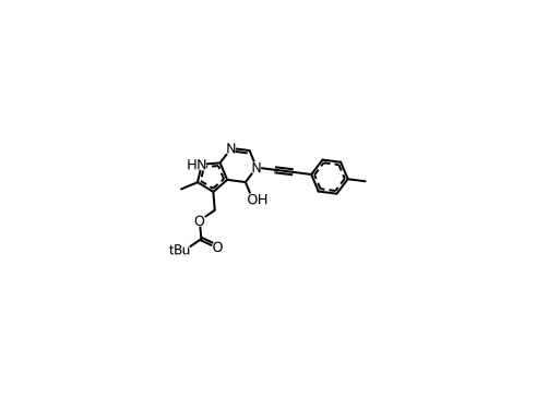 Cc1ccc(C#CN2C=Nc3[nH]c(C)c(COC(=O)C(C)(C)C)c3C2O)cc1